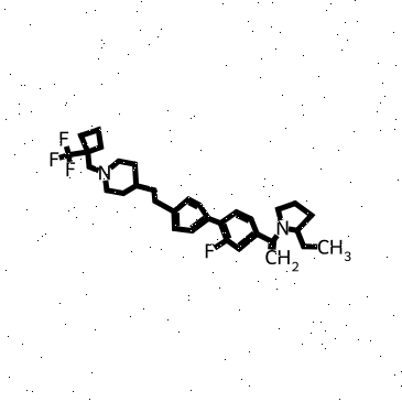 C=C(c1ccc(-c2ccc(CCC3CCN(CC4(C(F)(F)F)CCC4)CC3)cc2)c(F)c1)N1CCCC1CC